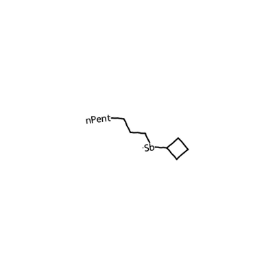 CCCCCCC[CH2][Sb][CH]1CCC1